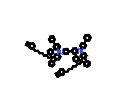 c1ccc(-c2ccc(N(c3ccc(-c4ccc(N(c5ccc(-c6ccccc6)cc5)c5ccc6c(c5)C(CCCCCCCc5ccc7c(c5)CC7)(c5ccccc5)c5ccccc5-6)cc4)cc3)c3ccc4c(c3)C(CCCCCCCc3ccc5c(c3)CC5)(c3ccccc3)c3ccccc3-4)cc2)cc1